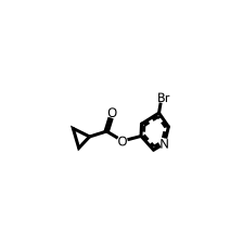 O=C(Oc1cncc(Br)c1)C1CC1